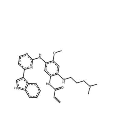 C=CC(=O)Nc1cc(Nc2nccc(-c3c[nH]c4ccccc34)n2)c(OC)cc1NCCCN(C)C